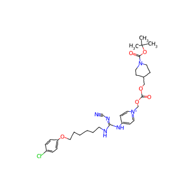 CC(C)(C)OC(=O)N1CCC(COC(=O)OC[n+]2ccc(NC(=NC#N)NCCCCCCOc3ccc(Cl)cc3)cc2)CC1